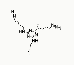 CCCCNc1nc(NCCCN=[N+]=[N-])nc(NCCCN=[N+]=[N-])n1